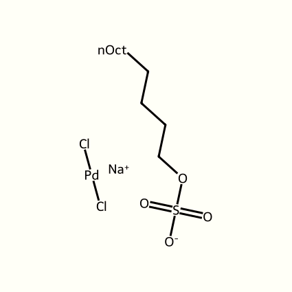 CCCCCCCCCCCCOS(=O)(=O)[O-].[Cl][Pd][Cl].[Na+]